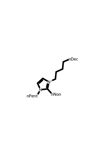 CCCCCCCCCCCCCC[n+]1ccn(CCCCC)c1CCCCCCCCC